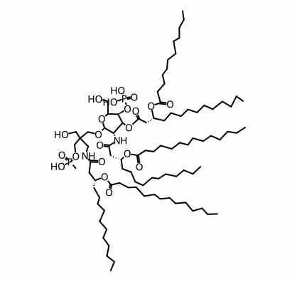 CCCCCCCCCCCCCC(=O)O[C@H](CCCCCCCCCCC)CC(=O)NCC(CO)(CO[C@H]1OC(CO)[C@@H](OP(=O)(O)O)C(OC(=O)C[C@@H](CCCCCCCCCCC)OC(=O)CCCCCCCCCCC)[C@@H]1NC(=O)C[C@@H](CCCCCCCCCCC)OC(=O)CCCCCCCCCCCCC)COP(C)(=O)O